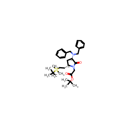 CC(C)(C)OC(=O)CN1C(=O)[C@@H](N(Cc2ccccc2)Cc2ccccc2)C[C@H]1CCS(C)(C)C(C)(C)C